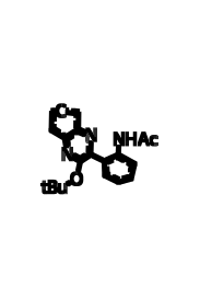 CC(=O)Nc1ccccc1-c1nc2ccccc2nc1OC(C)(C)C